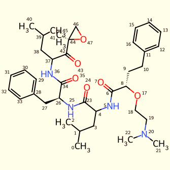 CC(C)CC(NC(=O)[C@H](CCc1ccccc1)OCCN(C)C)C(=O)N[C@@H](Cc1ccccc1)C(=O)NC(CC(C)C)C(=O)[C@@]1(C)CO1